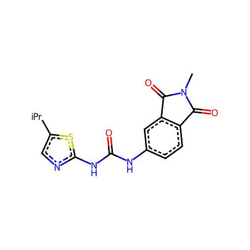 CC(C)c1cnc(NC(=O)Nc2ccc3c(c2)C(=O)N(C)C3=O)s1